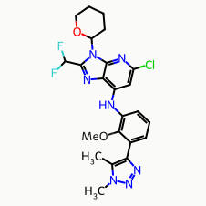 COc1c(Nc2cc(Cl)nc3c2nc(C(F)F)n3C2CCCCO2)cccc1-c1nnn(C)c1C